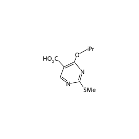 CSc1ncc(C(=O)O)c(OC(C)C)n1